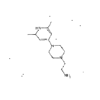 CC1=CC(N2CCN(CCN)CC2)=CC(C)N1